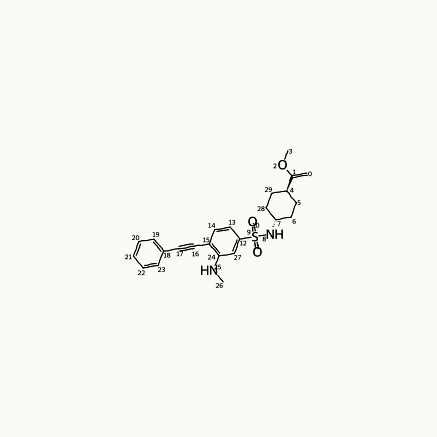 C=C(OC)[C@H]1CC[C@H](NS(=O)(=O)c2ccc(C#Cc3ccccc3)c(NC)c2)CC1